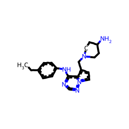 CCc1ccc(Nc2ncnn3ccc(CN4CCC(N)CC4)c23)cc1